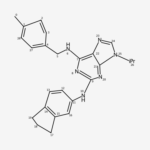 Cc1ccc(CNc2nc(Nc3ccc4c(c3)CCC4)nc3c2ncn3C(C)C)cc1